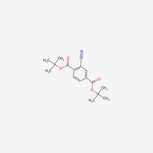 CC(C)(C)OC(=O)c1ccc(C(=O)OC(C)(C)C)c(C#N)c1